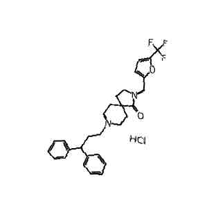 Cl.O=C1N(Cc2ccc(C(F)(F)F)o2)CCC12CCN(CCC(c1ccccc1)c1ccccc1)CC2